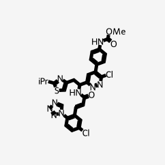 COC(=O)Nc1ccc(-c2cc(C(Cc3csc(C(C)C)n3)NC(=O)/C=C/c3cc(Cl)ccc3-n3cnnn3)nnc2Cl)cc1